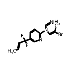 C/C=C/C(F)(F)c1ccc(N(C=N)/C=C(\C)Br)nc1